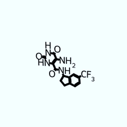 Nc1c(C(=O)NC2CCc3ccc(C(F)(F)F)cc32)[nH]c(=O)[nH]c1=O